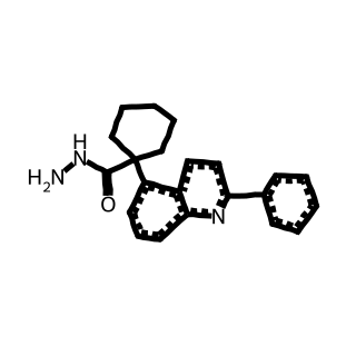 NNC(=O)C1(c2cccc3nc(-c4ccccc4)ccc23)CCCCC1